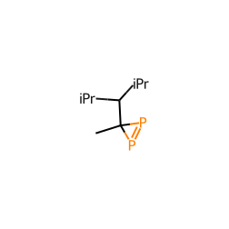 CC(C)C(C(C)C)C1(C)P=P1